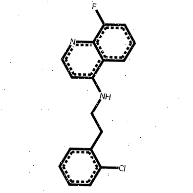 Fc1cccc2c(NCCc3ccccc3Cl)ccnc12